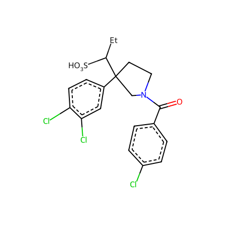 CCC(C1(c2ccc(Cl)c(Cl)c2)CCN(C(=O)c2ccc(Cl)cc2)C1)S(=O)(=O)O